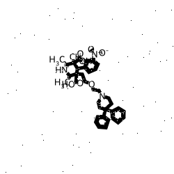 CC1N[C@H](C)C(C)(C(=O)O)C(c2cccc([N+](=O)[O-])c2)C1(CCOCCN1CCC(c2ccccc2)(c2ccccc2)CC1)C(=O)O